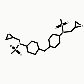 CS(=O)(=O)N(CC1CO1)C1CCC(CC2CCC(N(CC3CO3)S(C)(=O)=O)CC2)CC1